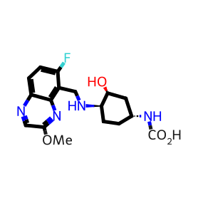 COc1cnc2ccc(F)c(CN[C@@H]3CC[C@@H](NC(=O)O)C[C@@H]3O)c2n1